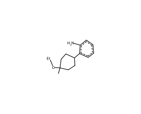 CCOC1(C)CCC(c2ccccc2N)CC1